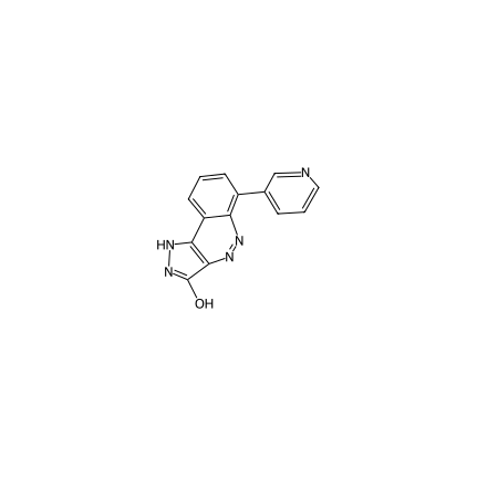 Oc1n[nH]c2c1nnc1c(-c3cccnc3)cccc12